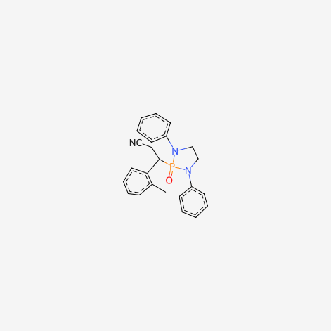 Cc1ccccc1C(CC#N)P1(=O)N(c2ccccc2)CCN1c1ccccc1